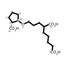 O=C(O)CCCCC(CCCON1CCC[C@H]1C(=O)O)C(=O)O